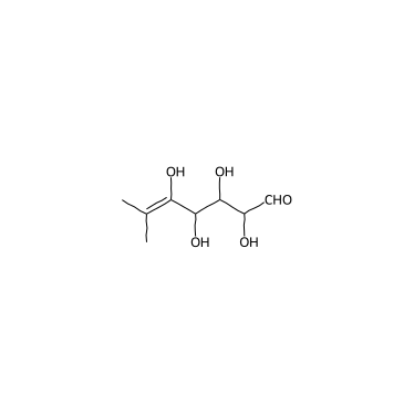 CC(C)=C(O)C(O)C(O)C(O)C=O